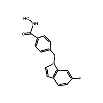 O=C(NO)c1ccc(Cn2ccc3ccc(F)cc32)cc1